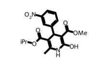 COC(=O)C1=C(O)NC(C)=C(C(=O)OC(C)C)C1c1cccc([N+](=O)[O-])c1